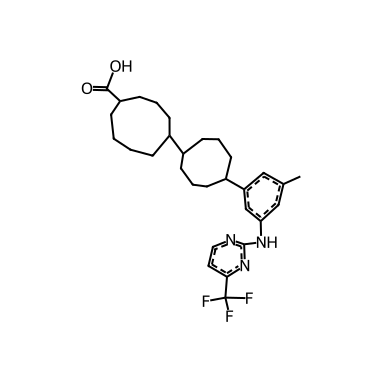 Cc1cc(Nc2nccc(C(F)(F)F)n2)cc(C2CCCC(C3CCCCC(C(=O)O)CCC3)CCC2)c1